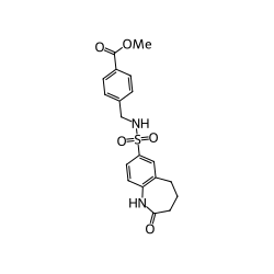 COC(=O)c1ccc(CNS(=O)(=O)c2ccc3c(c2)CCCC(=O)N3)cc1